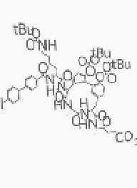 C[C@H](NC(=O)[C@@H]1Cc2ccc(OC(=O)OC(C)(C)C)c(c2)-c2cc(ccc2OC(=O)OC(C)(C)C)[C@H](N(C)C(=O)[C@H](CCCCNC(=O)OC(C)(C)C)NC(=O)c2ccc(-c3ccc(Cl)cc3)cc2)C(=O)N[C@@H](C)C(=O)N1)C(=O)CCC(=O)O